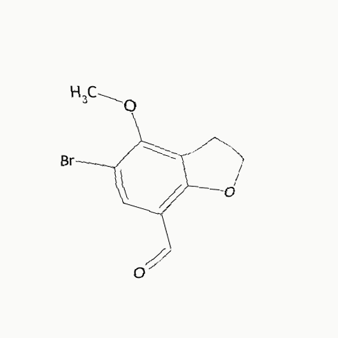 COc1c(Br)cc(C=O)c2c1CCO2